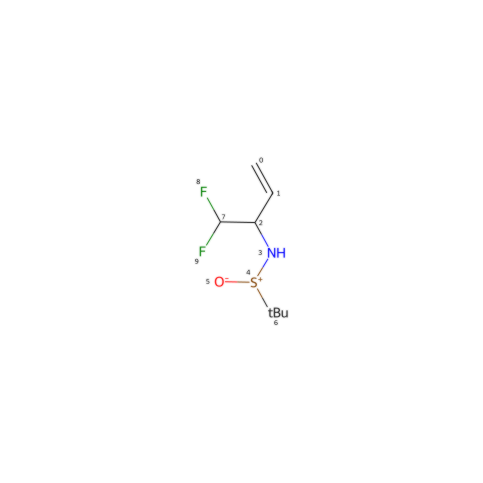 C=CC(N[S+]([O-])C(C)(C)C)C(F)F